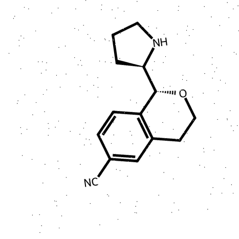 N#Cc1ccc2c(c1)CCO[C@H]2[C@H]1CCCN1